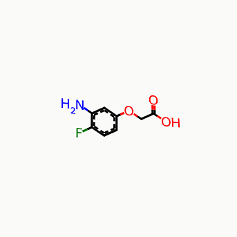 Nc1cc(OCC(=O)O)ccc1F